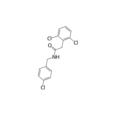 O=C(Cc1c(Cl)cccc1Cl)NCc1ccc(Cl)cc1